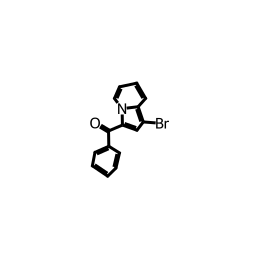 O=C(c1ccccc1)c1cc(Br)c2ccccn12